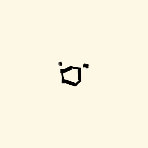 [Ag].[S].c1ccnnc1